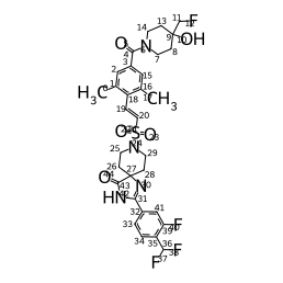 Cc1cc(C(=O)N2CCC(O)(CF)CC2)cc(C)c1C=CS(=O)(=O)N1CCC2(CC1)N=C(c1ccc(C(F)F)c(F)c1)NC2=O